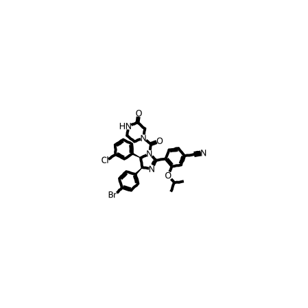 CC(C)Oc1cc(C#N)ccc1C1=N[C@@H](c2ccc(Br)cc2)[C@@H](c2cccc(Cl)c2)N1C(=O)N1CCNC(=O)C1